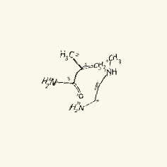 C=C(C)C(N)=O.CNCCN